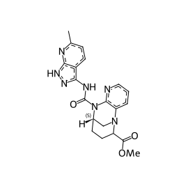 COC(=O)C1CC[C@H]2CN1c1cccnc1N2C(=O)Nc1n[nH]c2nc(C)ccc12